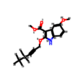 COC(=O)c1c(OCC#C[Si](C)(C)C(C)(C)C)[nH]c2ccc(OC)cc12